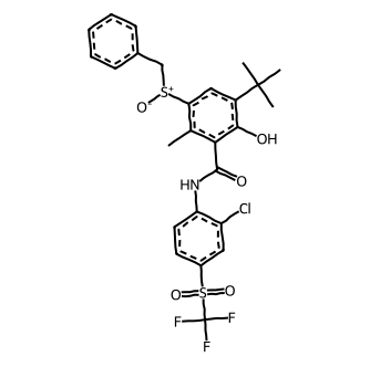 Cc1c([S+]([O-])Cc2ccccc2)cc(C(C)(C)C)c(O)c1C(=O)Nc1ccc(S(=O)(=O)C(F)(F)F)cc1Cl